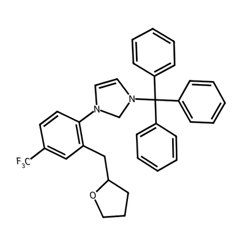 FC(F)(F)c1ccc(N2C=CN(C(c3ccccc3)(c3ccccc3)c3ccccc3)C2)c(CC2CCCO2)c1